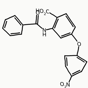 O=C(Nc1cc(Oc2ccc([N+](=O)[O-])cc2)ccc1C(=O)O)c1ccccc1